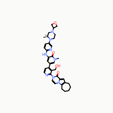 C[C@H]1CN(C2COC2)CCN1c1ccc(Nc2cc(-c3ccnc(-n4ccn5c6c(cc5c4=O)CCCCC6)c3CO)cn(C)c2=O)nc1